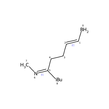 B/C=C/CC/C(=N\C)C(C)CC